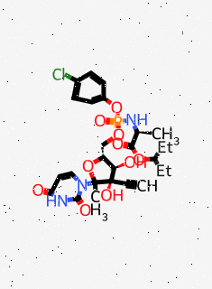 C#C[C@@]1(O)[C@H](O)[C@@H](COP(=O)(N[C@@H](C)C(=O)OC(CC)CC)Oc2ccc(Cl)cc2)OC1(C)n1ccc(=O)[nH]c1=O